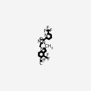 [C-]#[N+]c1ccc2c(cc(C)n2Cc2noc(-c3cccc(C(F)(F)F)n3)n2)c1C(F)(F)F